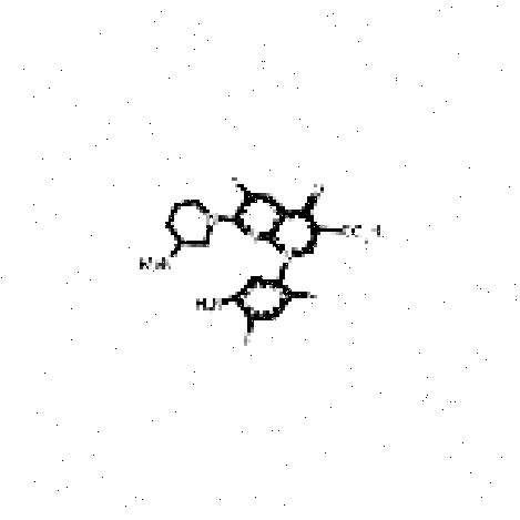 CNC1CCCN(c2nc3c(cc2F)c(=O)c(C(=O)O)cn3-c2cc(N)c(F)cc2F)C1